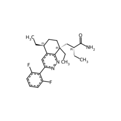 CC[C@H](C[C@@]1(CC)CC[C@H](CC)c2cc(-c3c(F)cccc3F)nnc21)C(N)=O